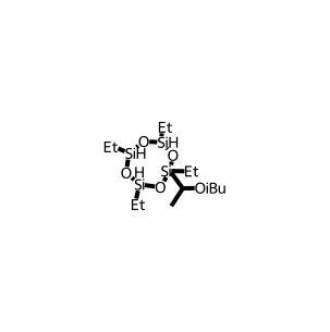 CC[SiH]1O[SiH](CC)O[Si](CC)(C(C)OCC(C)C)O[SiH](CC)O1